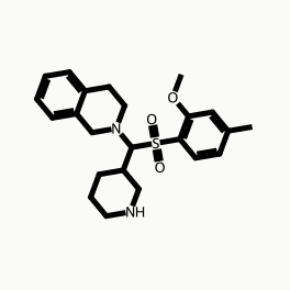 COc1cc(C)ccc1S(=O)(=O)C(C1CCCNC1)N1CCc2ccccc2C1